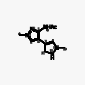 CC(=O)Nc1nn(C)cc1C1=CN(C)NC1